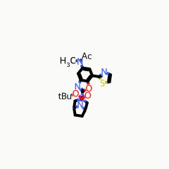 CC(=O)N(C)c1cc(-c2nccs2)c2oc(N3CC4CCC(C3)N4C(=O)OC(C)(C)C)nc2c1